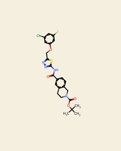 CC(C)(C)OC(=O)N1CCc2cc(C(=O)Nc3nnc(COc4cc(F)cc(Cl)c4)s3)ccc2C1